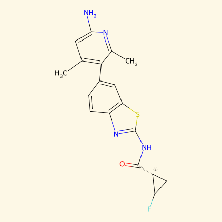 Cc1cc(N)nc(C)c1-c1ccc2nc(NC(=O)[C@@H]3CC3F)sc2c1